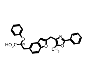 Cc1oc(-c2ccccc2)nc1Cc1cc2cc(C[C@H](Oc3ccccc3)C(=O)O)ccc2o1